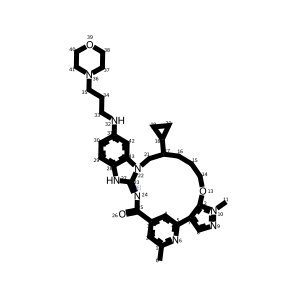 Cc1cc2cc(n1)-c1cnn(C)c1OCCCC(C1CC1)CN1/C(=N/C2=O)Nc2ccc(NCCCN3CCOCC3)cc21